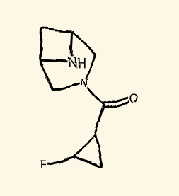 O=C(C1CC1F)N1CC2CC(C1)N2